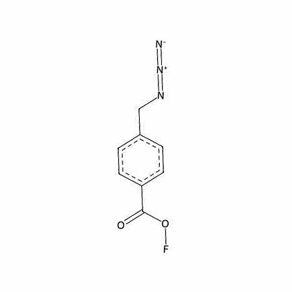 [N-]=[N+]=NCc1ccc(C(=O)OF)cc1